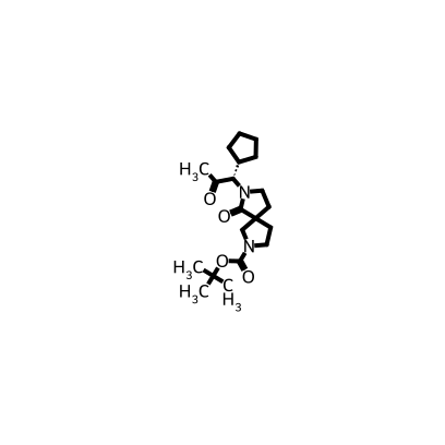 CC(=O)[C@H](C1CCCC1)N1CCC2(CCN(C(=O)OC(C)(C)C)C2)C1=O